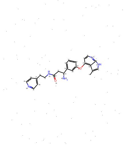 Cc1c[nH]c2nccc(Oc3cccc(C(N)CC(=O)NCCc4ccncc4)c3)c12